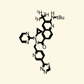 [2H]C([2H])([2H])c1cc2cc(C(=O)N(Cc3ccc(-c4nncs4)cn3)N(c3ncccn3)C3CC3)ccc2nc1NC(C)(C)C